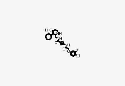 CC1CCNC(CNC(=O)C23CC(NC(=O)COc4ccc(Cl)c(F)c4)(C2)C3)C1C1CCCCCC1